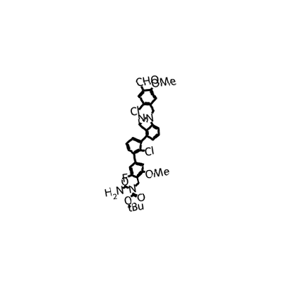 COc1cc(Cn2ncc3c(-c4cccc(-c5cc(F)c(CN(C(N)=O)C(=O)OC(C)(C)C)c(OC)c5)c4Cl)cccc32)c(Cl)cc1C=O